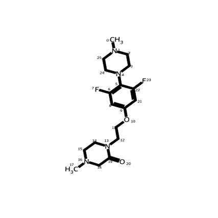 CN1CCN(c2c(F)cc(OCCN3CCN(C)CC3=O)cc2F)CC1